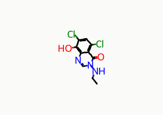 CCNn1cnc2c(O)c(Cl)cc(Cl)c2c1=O